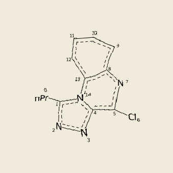 CCCc1nnc2c(Cl)nc3ccccc3n12